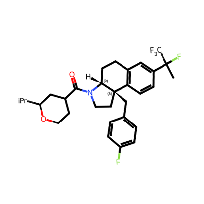 CC(C)C1CC(C(=O)N2CC[C@@]3(Cc4ccc(F)cc4)c4ccc(C(C)(F)C(F)(F)F)cc4CC[C@@H]23)CCO1